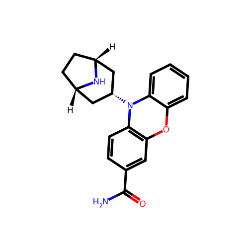 NC(=O)c1ccc2c(c1)Oc1ccccc1N2[C@H]1C[C@H]2CC[C@@H](C1)N2